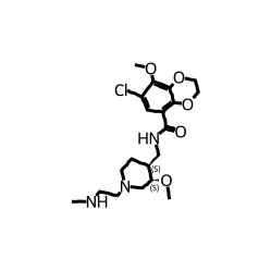 CNCCN1CC[C@@H](CNC(=O)c2cc(Cl)c(OC)c3c2OCCO3)[C@H](OC)C1